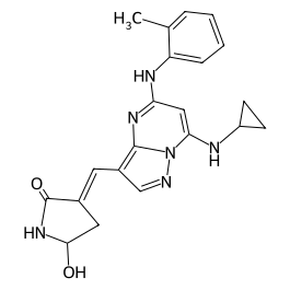 Cc1ccccc1Nc1cc(NC2CC2)n2ncc(/C=C3\CC(O)NC3=O)c2n1